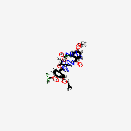 CCOc1ccc(C(=O)NCc2nc(-c3ccc(OC(F)F)c(OCC4CC4)c3)oc2[C@H](C)OC(N)=O)c(F)c1